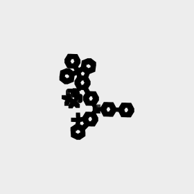 CC1(C)c2ccccc2-c2ccc(N(c3ccc(-c4ccccc4)cc3)c3ccc(-c4cc5c(cc4B4OC(C)(C)C(C)(C)O4)C(c4ccccc4)(c4ccccc4)c4ccccc4-5)cc3)cc21